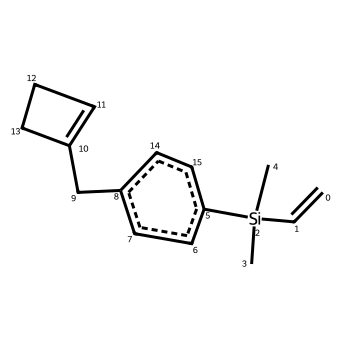 C=C[Si](C)(C)c1ccc(CC2=CCC2)cc1